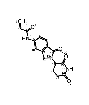 C=CC(=O)Nc1ccc2c(c1)CN(C1CCC(=O)NC1=O)C2=O